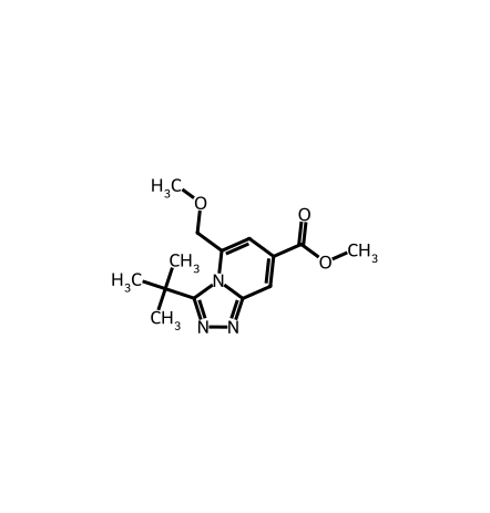 COCc1cc(C(=O)OC)cc2nnc(C(C)(C)C)n12